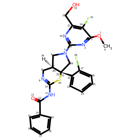 COc1nc(N2C[C@@H]3CN=C(NC(=O)c4ccccc4)S[C@@]3(c3ccccc3F)C2)nc(CO)c1F